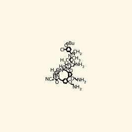 C=N/C(=N\C(C)=C(/C)C(=O)N[C@@H](CCN)C(=O)N(C)[C@@H]1C(=O)N[C@@H](C)C(=O)N[C@H](C(=O)NCC#N)Cc2ccc(OCCN)c(c2)-c2cc1ccc2OCCN)c1ccc(OCCCC)c(Cl)c1